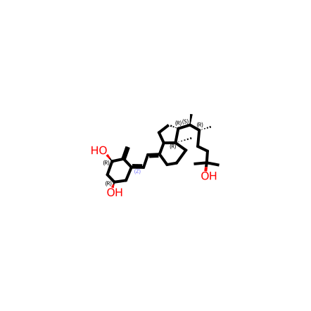 C=C1/C(=C\C=C2CCC[C@@]3(C)C2CC[C@@H]3[C@@H](C)[C@H](C)CCC(C)(C)O)C[C@@H](O)C[C@H]1O